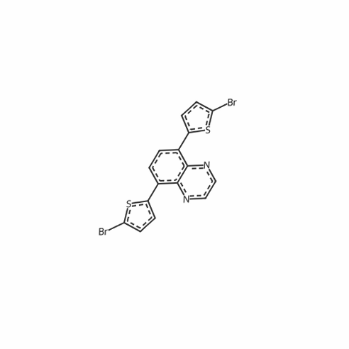 Brc1ccc(-c2ccc(-c3ccc(Br)s3)c3nccnc23)s1